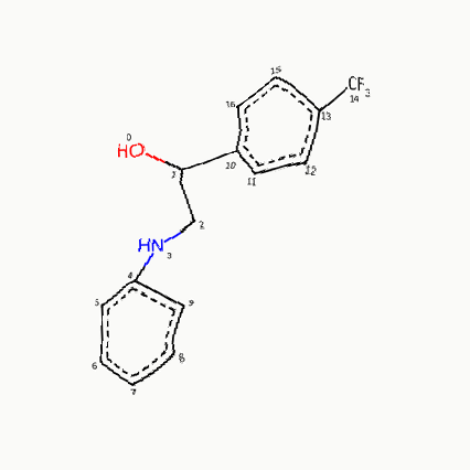 OC(CNc1ccccc1)c1ccc(C(F)(F)F)cc1